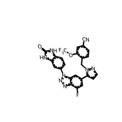 N#Cc1ccc(Cn2nccc2-c2cc(F)c3nnn(-c4ccc5[nH]c(=O)[nH]c5c4)c3c2)c(OC(F)(F)F)c1